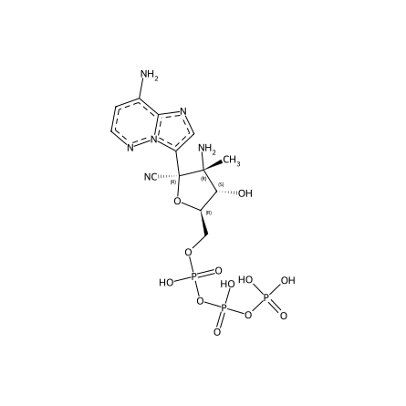 C[C@@]1(N)[C@H](O)[C@@H](COP(=O)(O)OP(=O)(O)OP(=O)(O)O)O[C@@]1(C#N)c1cnc2c(N)ccnn12